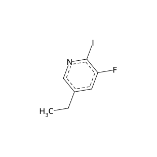 CCc1cnc(I)c(F)c1